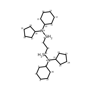 C1CCC(N([SiH2]CC[SiH2]N(C2CCCCC2)C2CCCC2)C2CCCC2)CC1